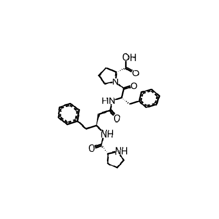 O=C(C[C@H](Cc1ccccc1)NC(=O)[C@H]1CCCN1)N[C@@H](Cc1ccccc1)C(=O)N1CCC[C@@H]1C(=O)O